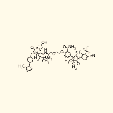 Cc1ncsc1-c1ccc(CNC(=O)[C@@H]2CC(O)CN2C(=O)[C@@H](NC(=O)COCCOc2ncc(N3C(=S)N(c4ccc(C#N)c(C(F)(F)F)c4F)C(=O)C3(C)C)cc2C(N)=O)C(C)(C)C)cc1